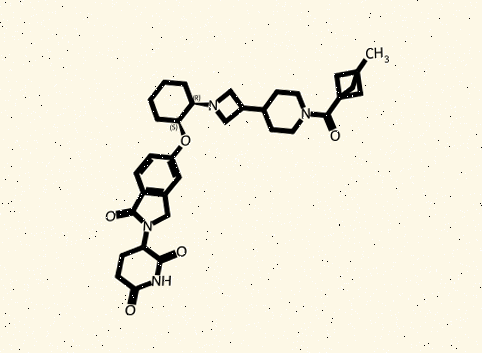 CC12CC(C(=O)N3CCC(C4CN([C@@H]5CCCC[C@@H]5Oc5ccc6c(c5)CN(C5CCC(=O)NC5=O)C6=O)C4)CC3)(C1)C2